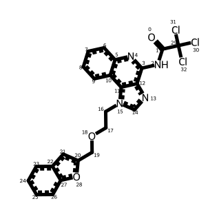 O=C(Nc1nc2ccccc2c2c1ncn2CCOCc1cc2ccccc2o1)C(Cl)(Cl)Cl